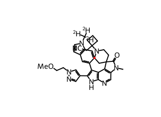 [2H]C([2H])([2H])n1ccc2cc(-c3c(-c4cnn(CCOC)c4)[nH]c4ncc5c(c34)C3(CCN(C4(CC#N)CCC4)CC3)C(=O)N5C)ccc21